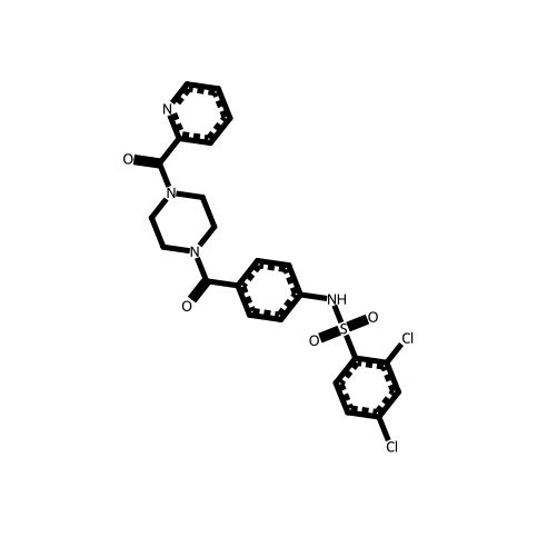 O=C(c1ccc(NS(=O)(=O)c2ccc(Cl)cc2Cl)cc1)N1CCN(C(=O)c2ccccn2)CC1